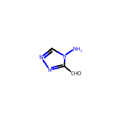 Nn1cnnc1C=O